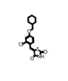 O=C1NC(=O)/C(=C/c2ccc(OCC3CCCCC3)cc2Cl)S1